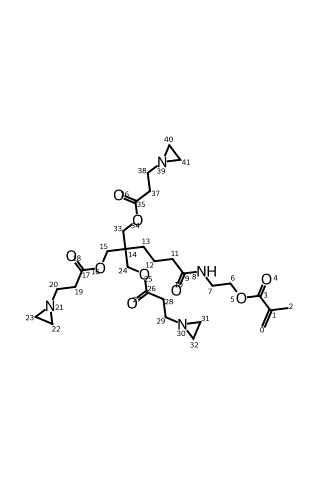 C=C(C)C(=O)OCCNC(=O)CCCC(COC(=O)CCN1CC1)(COC(=O)CCN1CC1)COC(=O)CCN1CC1